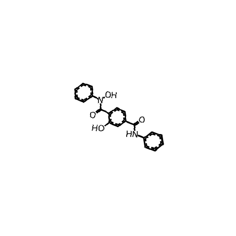 O=C(Nc1ccccc1)c1ccc(C(=O)N(O)c2ccccc2)c(O)c1